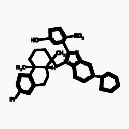 CC(C)c1ccc2c(c1)CC[C@H]1[C@@](C)(Cn3c(-c4cc(O)ccc4[N+](=O)[O-])nc4cc(-c5ccccc5)ccc43)CCC[C@]21C